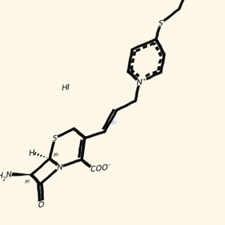 I.N[C@@H]1C(=O)N2C(C(=O)[O-])=C(/C=C/C[n+]3ccc(SCC(=O)O)cc3)CS[C@H]12